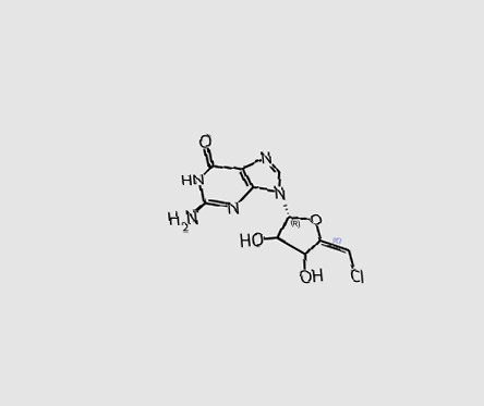 Nc1nc2c(ncn2[C@@H]2O/C(=C/Cl)C(O)C2O)c(=O)[nH]1